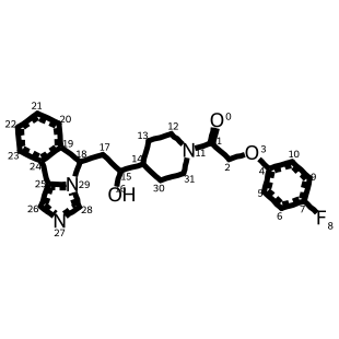 O=C(COc1ccc(F)cc1)N1CCC(C(O)CC2c3ccccc3-c3cncn32)CC1